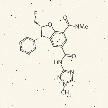 CNC(=O)c1cc(C(=O)Nc2ncn(C)n2)cc2c1O[C@H](CF)[C@H]2c1ccccc1